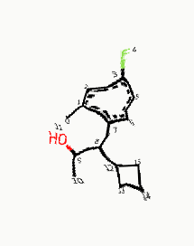 Cc1cc(F)ccc1C(C(C)O)C1CCC1